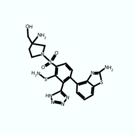 NSc1c(S(=O)(=O)N2CCC(N)(CO)C2)ccc(-c2cccc3sc(N)nc23)c1-c1nnn[nH]1